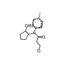 COC1CCCC1N(C(=O)CCCl)c1ccc(F)cc1